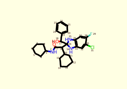 O=C(NC1CCCCC1)C(C1CCCCC1)C1(C(O)c2ccccc2)Nc2cc(F)c(Cl)cc2N1